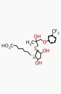 CC(O)(COc1cccc(C(F)(F)F)c1)CS[C@H]1C(O)CC(O)[C@@H]1CCCCCCC(=O)O